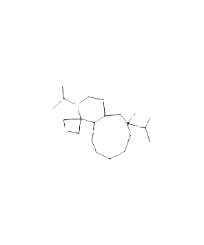 CC(C)N1CCC2CC(C)(C(C)C)CCCCCC2C12COC2